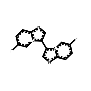 Fc1ccc2ncc(-c3cnc4ccc(F)cn34)n2c1